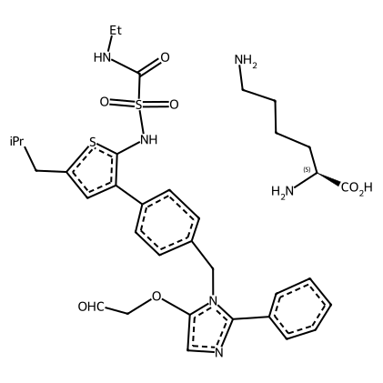 CCNC(=O)S(=O)(=O)Nc1sc(CC(C)C)cc1-c1ccc(Cn2c(OCC=O)cnc2-c2ccccc2)cc1.NCCCC[C@H](N)C(=O)O